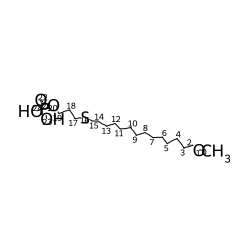 COCCCCCCCCCCCCCCSCCCOP(=O)(O)O